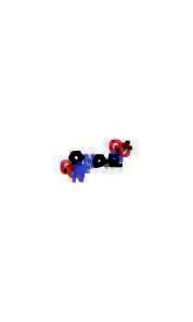 COC(=O)c1cccc(/C=N/c2ccc([C@@H]3CCCN(C(=O)OC(C)(C)C)C3)cc2)c1N=[N+]=[N-]